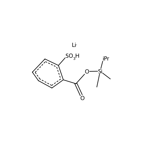 CC(C)[Si](C)(C)OC(=O)c1ccccc1S(=O)(=O)O.[Li]